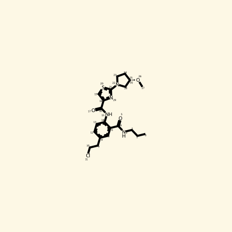 CCCNC(=O)c1cc(CCCl)ccc1NC(=O)c1csc(N2CC[C@H](OC)C2)n1